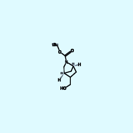 CC(C)(C)OC(=O)N1C[C@H]2C[C@@H]1CC2CO